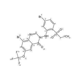 CCS(=O)(=O)c1ccc(Br)cc1Nn1cnc2c(Br)cc(OC(F)(F)F)cc2c1=O